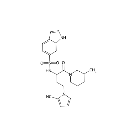 CC1CCCN(C(=O)C(CCn2cccc2C#N)NS(=O)(=O)c2ccc3cc[nH]c3c2)C1